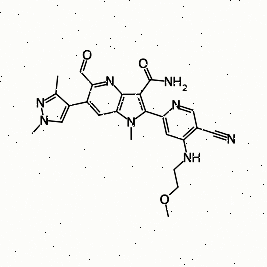 COCCNc1cc(-c2c(C(N)=O)c3nc(C=O)c(-c4cn(C)nc4C)cc3n2C)ncc1C#N